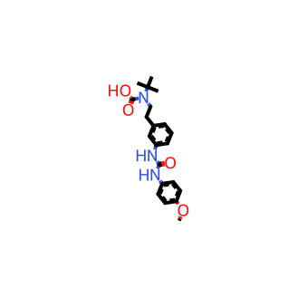 COc1ccc(NC(=O)Nc2cccc(CCN(C(=O)O)C(C)(C)C)c2)cc1